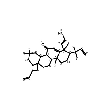 C=CCCC12CCC3C(C(=O)C=C4C(C)(/C=C/C#N)C(C(C)(C)C=C)CCC43C)C1CC(C)(C)CC2